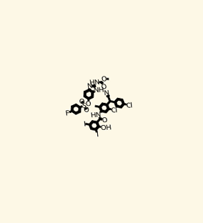 COC(=O)Nc1nc2ccc(OS(=O)(=O)c3ccc(F)cc3)cc2[nH]1.Cc1cc(C(C#N)c2ccc(Cl)cc2)c(Cl)cc1NC(=O)c1cc(I)cc(I)c1O